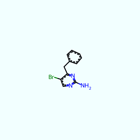 Nc1ncc(Br)c(Cc2ccccc2)n1